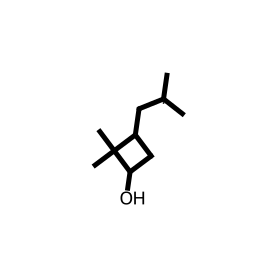 C[C](C)CC1CC(O)C1(C)C